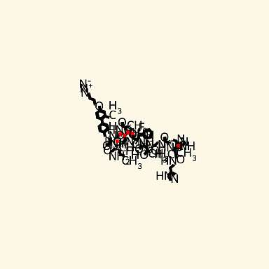 CCCC[C@H](NC(=O)[C@H](Cc1ccc(-c2ccc(OCCCCN=[N+]=[N-])cc2CC)cc1)NC(=O)[C@H](CC(=O)O)NC(=O)[C@H](C)NC(=O)[C@@H](NC(=O)[C@](C)(Cc1ccccc1F)NC(=O)[C@@H](NC(=O)CNC(=O)[C@H](Cc1nn[nH]n1)NC(=O)C(C)(C)C(=O)NCCc1cnc[nH]1)[C@@H](C)O)[C@@H](C)O)C(N)=O